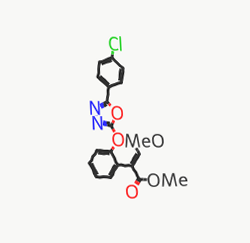 CO/C=C(/C(=O)OC)c1ccccc1Oc1nnc(-c2ccc(Cl)cc2)o1